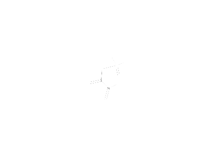 C=C(OP(=O)(O)Cl)C(=O)O